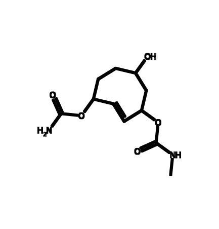 CNC(=O)OC1/C=C/C(OC(N)=O)CCC(O)C1